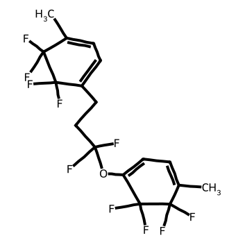 CC1=CC=C(CCC(F)(F)OC2=CC=C(C)C(F)(F)C2(F)F)C(F)(F)C1(F)F